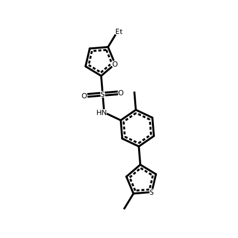 CCc1ccc(S(=O)(=O)Nc2cc(-c3csc(C)c3)ccc2C)o1